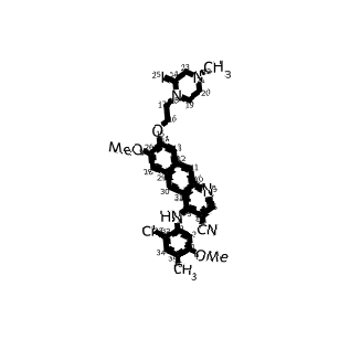 COc1cc(Nc2c(C#N)cnc3cc4cc(OCCN5CCN(C)CC5I)c(OC)cc4cc23)c(Cl)cc1C